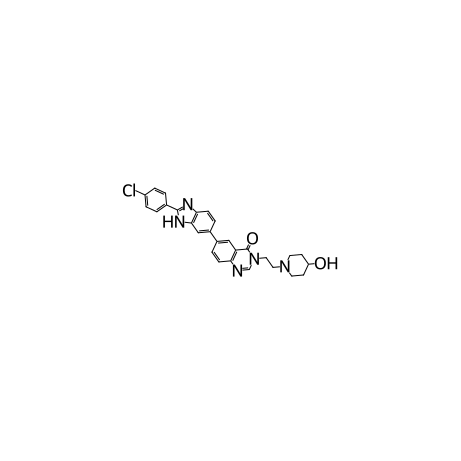 O=c1c2cc(-c3ccc4nc(-c5ccc(Cl)cc5)[nH]c4c3)ccc2ncn1CCN1CCC(O)CC1